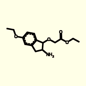 CCOC(=O)COC1c2ccc(OCC)cc2CC1N